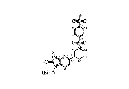 Cn1c(=O)n(CC(C)(C)C)c2ccc(C3CCCN(S(=O)(=O)c4ccc(S(C)(=O)=O)cc4)C3)nc21